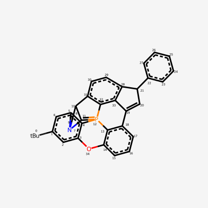 CC(C)(C)c1cc2c3c(c1)N1C=CC4C1=P31c3c(cccc3C3=CC(c5ccccc5)c5ccc4c1c53)O2